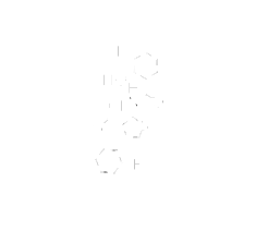 Cc1ccc(C(=O)Nc2scc(-c3ccc(C)c(F)c3F)c2C(=O)O)c(O)c1F